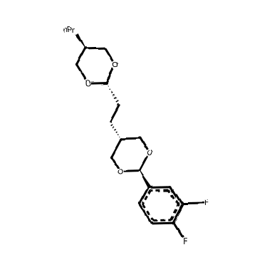 CCC[C@H]1CO[C@H](CC[C@H]2CO[C@H](c3ccc(F)c(F)c3)OC2)OC1